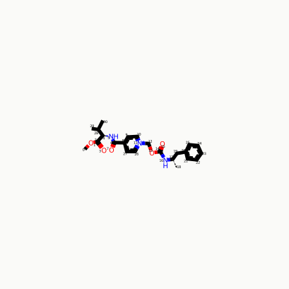 COC(=O)[C@@H](NC(=O)c1cc[n+](COC(=O)N[C@@H](C)Cc2ccccc2)cc1)C(C)C